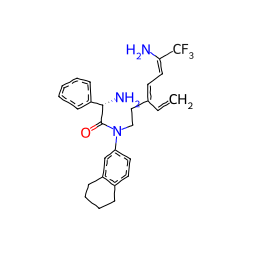 C=C/C(=C\C=C(/N)C(F)(F)F)CCN(C(=O)[C@@H](N)c1ccccc1)c1ccc2c(c1)CCCC2